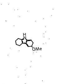 COC1C=c2c3c([nH]c2=CC1)CCCC3